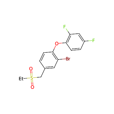 CCS(=O)(=O)Cc1ccc(Oc2ccc(F)cc2F)c(Br)c1